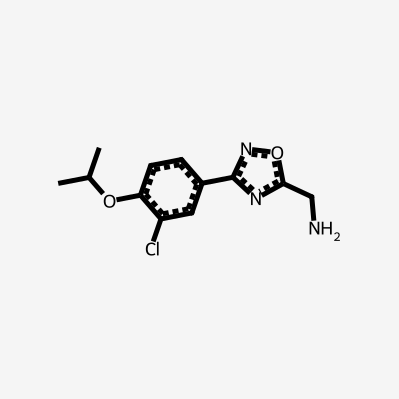 CC(C)Oc1ccc(-c2noc(CN)n2)cc1Cl